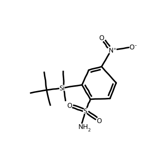 CC(C)(C)[Si](C)(C)c1cc([N+](=O)[O-])ccc1S(N)(=O)=O